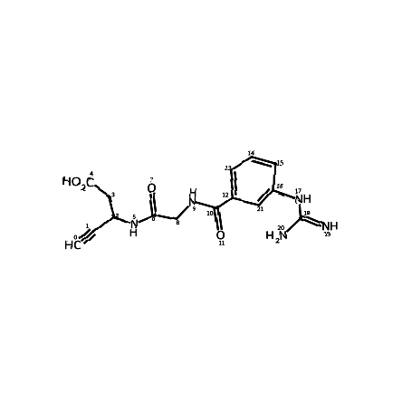 C#CC(CC(=O)O)NC(=O)CNC(=O)c1cccc(NC(=N)N)c1